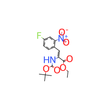 CCOC(=O)C(=Cc1ccc(F)cc1[N+](=O)[O-])NC(=O)OC(C)(C)C